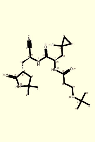 CC1(C)C[C@@H](C[C@@H](C#N)NC(=O)[C@@H](CC2(F)CC2)NC(=O)CCOC(C)(C)C)C(=O)N1